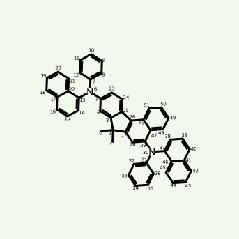 CC1(C)c2cc(N(c3ccccc3)c3cccc4ccccc34)ccc2-c2c1cc(N(c1ccccc1)c1cccc3ccccc13)c1ccccc21